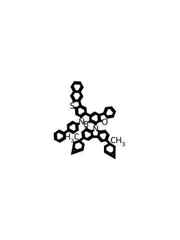 CC1(c2ccc3c(c2)c2cc(C4(C)CC=C5CC5C4)cc4c2n3-c2c3c(cc5c2oc2ccccc25)-c2cc5c(cc2N(c2ccc(-c6ccccc6)cc2)B34)sc2cc3ccccc3cc25)CC=C2CC2C1